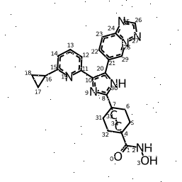 O=C(NO)C12CCC(c3nc(-c4cccc(C5CC5)n4)c(-c4ccc5ncnn5c4)[nH]3)(CC1)CC2